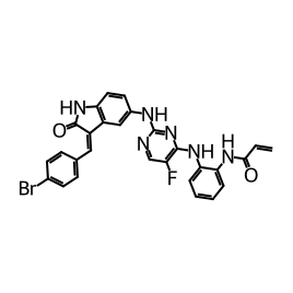 C=CC(=O)Nc1ccccc1Nc1nc(Nc2ccc3c(c2)/C(=C/c2ccc(Br)cc2)C(=O)N3)ncc1F